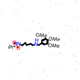 COc1cc(CNCCCCCNS(=O)(=O)C(C)C)cc(OC)c1OC